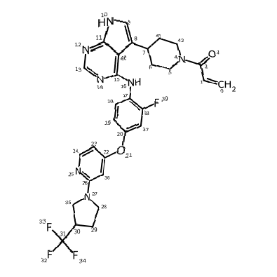 C=CC(=O)N1CCC(c2c[nH]c3ncnc(Nc4ccc(Oc5ccnc(N6CCC(C(F)(F)F)C6)c5)cc4F)c23)CC1